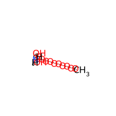 COCCOCCOCCOCCOCCOCCOCCOCCO[C@H]1CC[C@@]2(O)[C@H]3Cc4ccc(O)c5c4[C@@]2(CCN3CC2CCC2)[C@H]1O5